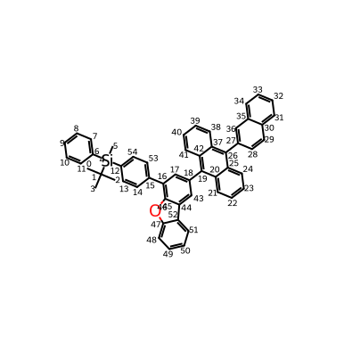 CC(C)(C)[Si](C)(c1ccccc1)c1ccc(-c2cc(-c3c4ccccc4c(-c4ccc5ccccc5c4)c4ccccc34)cc3c2oc2ccccc23)cc1